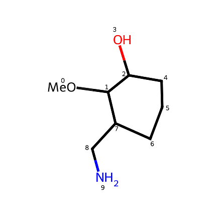 COC1C(O)CCCC1CN